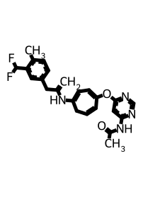 C=C(Cc1ccc(C)c(C(F)F)c1)NC1=CC=C(Oc2cc(NC(C)=O)ncn2)C=CC1